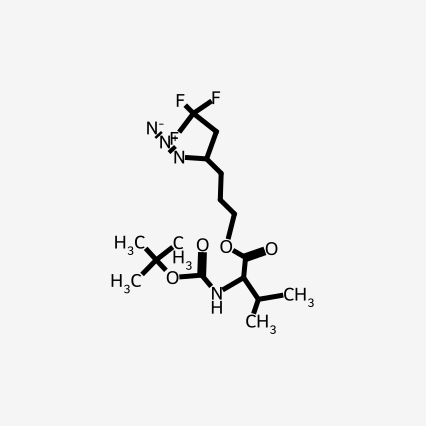 CC(C)C(NC(=O)OC(C)(C)C)C(=O)OCCCC(CC(F)(F)F)N=[N+]=[N-]